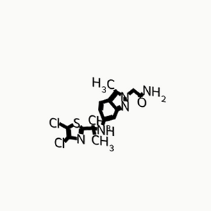 Cc1c2ccc(NC(C)(C)c3nc(Cl)c(Cl)s3)cc2nn1CC(N)=O